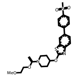 C=C(OCCOC)N1CCC(Oc2nc3ccc(-c4ccc(S(C)(=O)=O)cc4)cc3s2)CC1